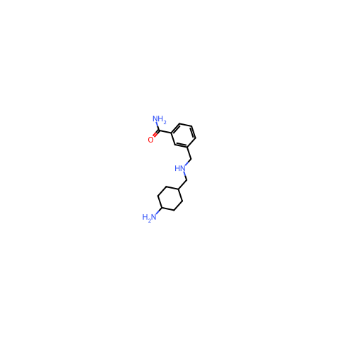 NC(=O)c1cccc(CNCC2CCC(N)CC2)c1